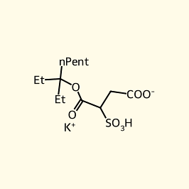 CCCCCC(CC)(CC)OC(=O)C(CC(=O)[O-])S(=O)(=O)O.[K+]